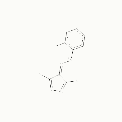 NC1=NN=C(N)C1=NNc1ccccc1F